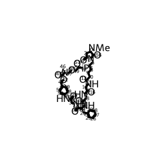 CNC1CC(=O)N(CCCCCC(=O)NCC(=O)NCC(=O)N[C@@H](Cc2ccccc2)C(=O)NCC(=O)Nc2ccc(COC(=O)N(C)COCC(=O)C(C)C)cc2)C1=O